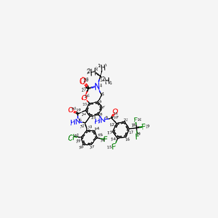 [2H]C([2H])([2H])N1Cc2cc(NC(=O)c3cc(F)cc(C(F)(F)F)c3)c3c(c2OC1=O)C(=O)NC3c1cc(F)ccc1Cl